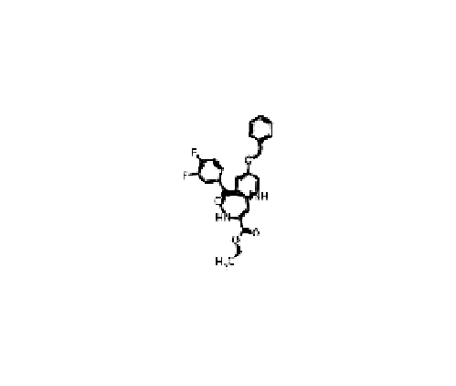 CCOC(=O)C1=CC23C(=CCN1)C=C(OCc1ccccc1)C=C2NCC3C(=O)c1ccc(F)c(F)c1